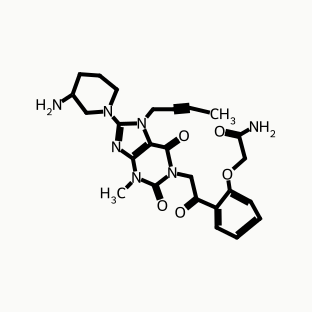 CC#CCn1c(N2CCCC(N)C2)nc2c1c(=O)n(CC(=O)c1ccccc1OCC(N)=O)c(=O)n2C